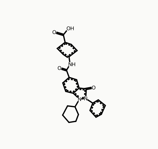 O=C(O)c1ccc(NC(=O)c2ccc3c(c2)c(=O)n(-c2ccccc2)n3C2CCCCC2)cc1